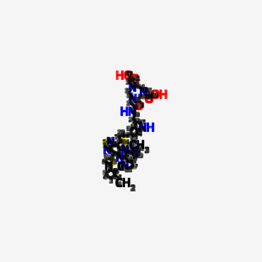 C=Cc1cccc(-c2ccc(-c3c4nsnc4c(-c4ccc(-c5ccc6[nH]cc(CCNC(=O)CN7CCN(CC(=O)O)CCN(CC(=O)O)CC7)c6c5)s4)c4nc(-c5cccn5C)c(-c5cccn5C)nc34)s2)c1